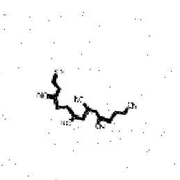 N#CCCCC(C#N)CC(C#N)CC(C#N)CCC(C#N)CCC#N